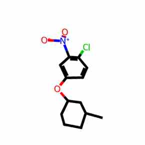 CC1CCCC(Oc2ccc(Cl)c([N+](=O)[O-])c2)C1